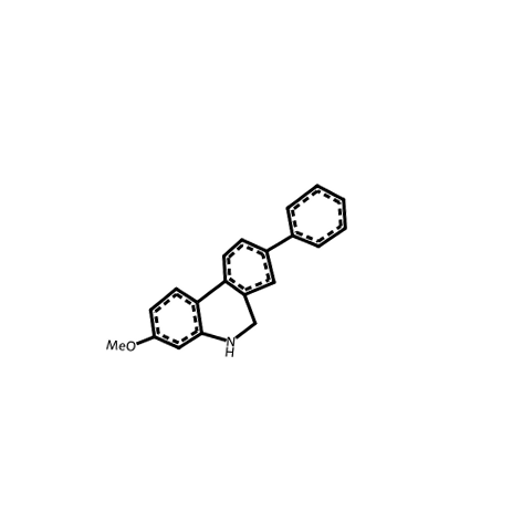 COc1ccc2c(c1)NCc1cc(-c3ccccc3)ccc1-2